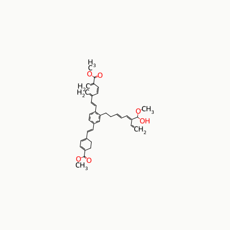 C=C/C(=C\C=C\CCc1cc(/C=C/C2=CC=C(C(=O)OC)CC2)ccc1/C=C/C(=C)/C=C\C(=C)C(=O)OC)C(O)OC